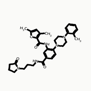 Cc1cc(C)c(C(=O)Nc2cc(C(=O)NCCCN3CCCC3=O)ccc2N2CCN(c3ccccc3C)CC2)o1